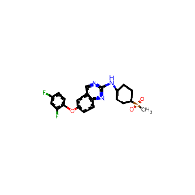 CS(=O)(=O)C1CCC(Nc2ncc3cc(Oc4ccc(F)cc4F)ccc3n2)CC1